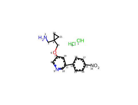 Cl.Cl.NCC1(COc2cncc(-c3ccc([N+](=O)[O-])cc3)c2)CC1